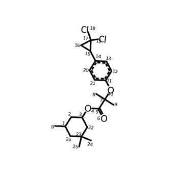 CC1CC(OC(=O)C(C)(C)Oc2ccc(C3CC3(Cl)Cl)cc2)CC(C)(C)C1